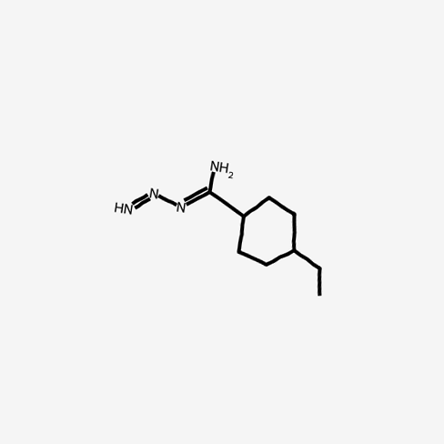 CCC1CCC(/C(N)=N/N=N)CC1